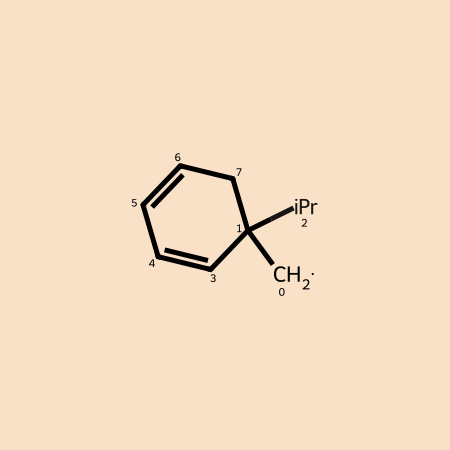 [CH2]C1(C(C)C)C=CC=CC1